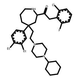 CCc1ccc(C2(CCN3CCN(C4CCCCC4)CC3)CCCNC(C(=O)Cc3c(F)cccc3Cl)C2)cc1CC